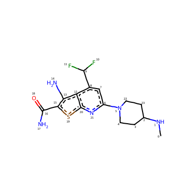 CNC1CCN(c2cc(C(F)F)c3c(N)c(C(N)=O)sc3n2)CC1